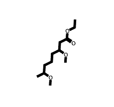 CCOC(=O)CC(CCCC(C)OC)OC